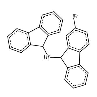 CC(C)c1ccc2c(c1)[CH]([Hf][CH]1c3ccccc3-c3ccccc31)c1ccccc1-2